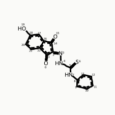 O=c1c(=NNC(=S)Nc2ccccc2)c(=O)c2cc(O)ccc12